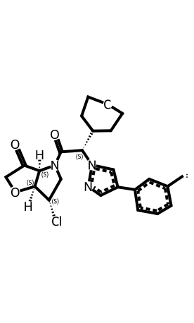 [CH]c1cccc(-c2cnn([C@H](C(=O)N3C[C@H](Cl)[C@H]4OCC(=O)[C@H]43)C3CCCCC3)c2)c1